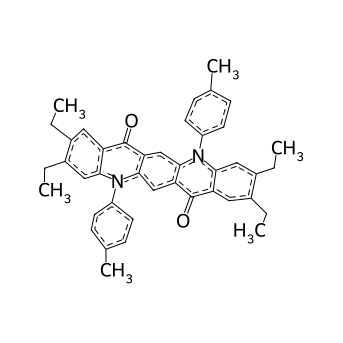 CCc1cc2c(=O)c3cc4c(cc3n(-c3ccc(C)cc3)c2cc1CC)c(=O)c1cc(CC)c(CC)cc1n4-c1ccc(C)cc1